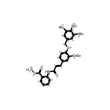 COc1cc(/C=C/C(=O)Nc2ccccc2C(=O)ON)ccc1OCc1cc(C(C)(C)C)c(N=O)c(C(C)(C)C)c1